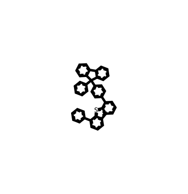 c1ccc(-c2cccc3c2sc2c(-c4ccc(C5(c6ccccc6)c6ccccc6-c6ccccc65)cc4)cccc23)cc1